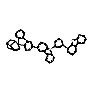 c1cc(-c2cccc3c2oc2ccccc23)cc(-n2c3ccccc3c3cc(-c4ccc5c(c4)-c4ccccc4C54C5CC6CC(C5)CC4C6)ccc32)c1